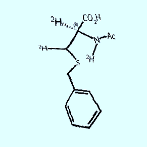 [2H]C(SCc1ccccc1)[C@@]([2H])(C(=O)O)N([2H])C(C)=O